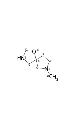 CN1CCC2(CNCO2)C1